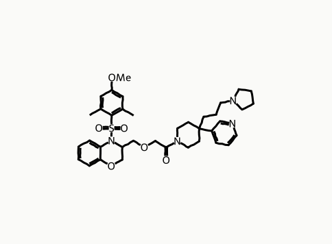 COc1cc(C)c(S(=O)(=O)N2c3ccccc3OCC2COCC(=O)N2CCC(CCCN3CCCC3)(c3cccnc3)CC2)c(C)c1